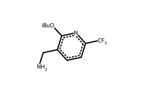 CC(C)COc1nc(C(F)(F)F)ccc1CN